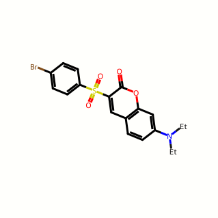 CCN(CC)c1ccc2cc(S(=O)(=O)c3ccc(Br)cc3)c(=O)oc2c1